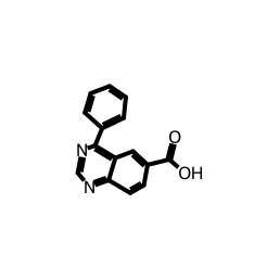 O=C(O)c1ccc2ncnc(-c3ccccc3)c2c1